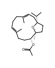 CC(=O)O[C@@H]1CC/C(C)=C/CC/C(C)=C/C[C@@]2(C(C)C)CC[C@]1(C)O2